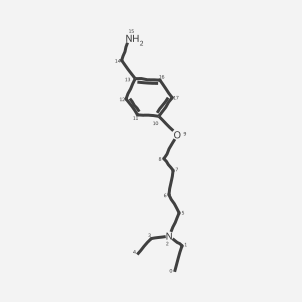 CCN(CC)CCCCOc1ccc(CN)cc1